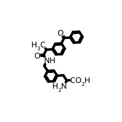 CC(C(=O)NCc1cccc(CC(N)C(=O)O)c1)c1cccc(C(=O)c2ccccc2)c1